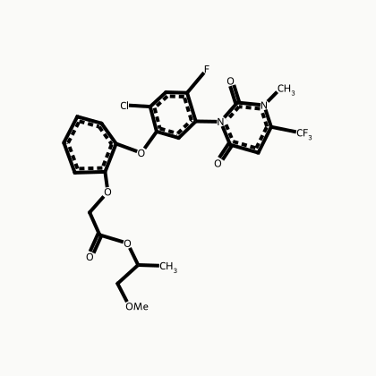 COCC(C)OC(=O)COc1ccccc1Oc1cc(-n2c(=O)cc(C(F)(F)F)n(C)c2=O)c(F)cc1Cl